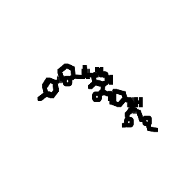 CCOCC[C@H](COC)NC1CCN(C(=O)c2ncnc(N(C)CC3CCC[C@@H](c4ccc(C)cc4)O3)c2C)CC1